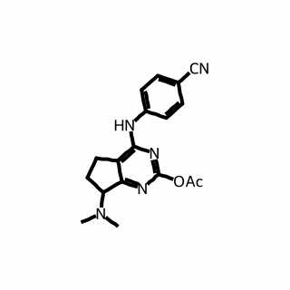 CC(=O)Oc1nc(Nc2ccc(C#N)cc2)c2c(n1)C(N(C)C)CC2